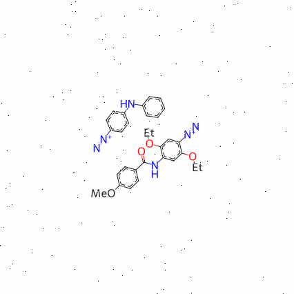 CCOc1cc(NC(=O)c2ccc(OC)cc2)c(OCC)cc1[N+]#N.N#[N+]c1ccc(Nc2ccccc2)cc1